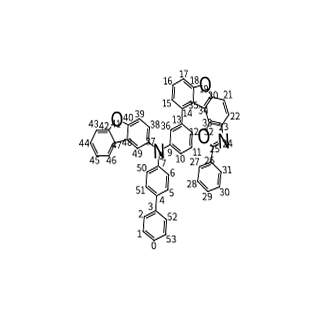 c1ccc(-c2ccc(N(c3cccc(-c4cccc5oc6ccc7nc(-c8ccccc8)oc7c6c45)c3)c3ccc4oc5ccccc5c4c3)cc2)cc1